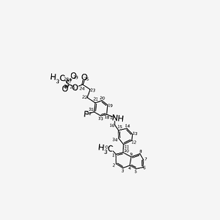 Cc1ccc2ccccc2c1-c1cccc(CNc2ccc(CCC(=O)OS(C)(=O)=O)c(F)c2)c1